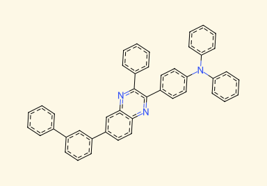 c1ccc(-c2cccc(-c3ccc4nc(-c5ccc(N(c6ccccc6)c6ccccc6)cc5)c(-c5ccccc5)nc4c3)c2)cc1